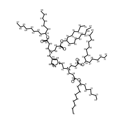 CCCCCCCCC(CCCCCC)OC(=O)CCN(CCC(=O)OC(CCCCCC)CCCCCCCC)CCn1cc(CN(CCC(=O)OC(CCCCCC)CCCCCCCC)CCC(=O)OC(CCCCCC)CCCCCCCC)cn1